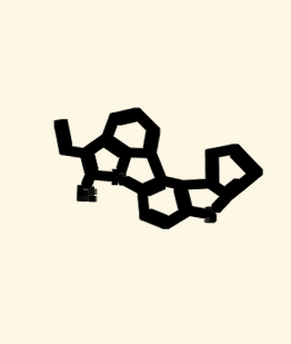 C=Cc1c(CC)n2c3ccc4sc5ccccc5c4c3c3cccc1c32